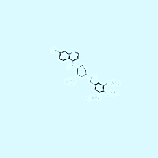 COc1cc(CN[C@H]2CC[C@H](Nc3ccnc4cc(Cl)ccc34)CC2)cc(OC)c1OC.Cl.Cl